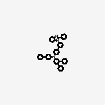 c1ccc(-c2ccc(N(c3ccc(-c4cccc(-n5c(-c6ccccc6)nc6ccccc65)c4)cc3)c3ccc(-c4ccccc4)c(-c4ccccc4)c3)cc2)cc1